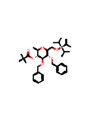 CC1OC(CO[Si](C(C)C)(C(C)C)C(C)C)[C@H](OCc2ccccc2)C(OCc2ccccc2)[C@@H]1OC(=O)C(C)(C)C